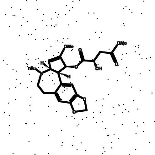 CCCCN1CCc2cc3c(cc2[C@@H]2[C@H](OC(=O)[C@H](O)CC(=O)OC)C(OC)=C[C@@H]21)OCO3